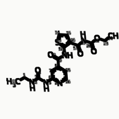 CCNC(=O)Nc1cc(C(=O)Nc2sccc2C(=O)NC(=O)OCC)ccn1